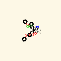 CC1(C)[C@](Cc2cccc(Oc3ccccc3)c2)(C(=O)O)[C@@]1(C=C(Cl)Cl)[C@H](C#N)c1cccc(Oc2ccccc2)c1